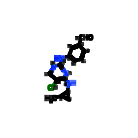 CC1CC1Nc1nc(Nc2cccc(C=O)c2)ncc1Cl